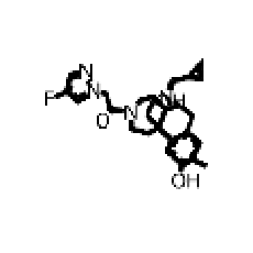 Cc1cc2c(cc1O)C13CCN(C(=O)Cn4cc(F)cn4)CCC1(O)C(C2)N(CC1CC1)CC3